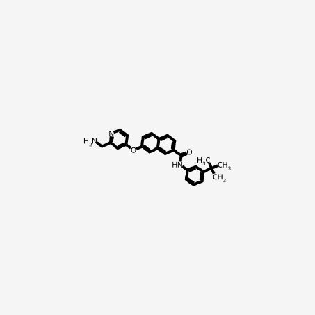 CC(C)(C)c1cccc(NC(=O)c2ccc3ccc(Oc4ccnc(CN)c4)cc3c2)c1